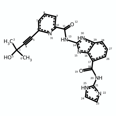 CC(C)(O)C#Cc1cccc(C(=O)Nc2nc3c(C(=O)Nc4ncc[nH]4)cccc3[nH]2)n1